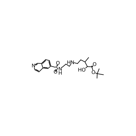 CC(CCNCCNS(=O)(=O)c1ccc2cnccc2c1)C(O)C(=O)OC(C)(C)C